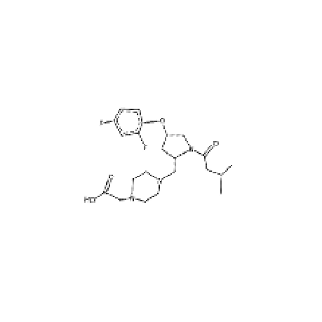 CC(C)CC(=O)N1CC(Oc2ccc(F)cc2F)CC1CN1CCN(CC(=O)O)CC1